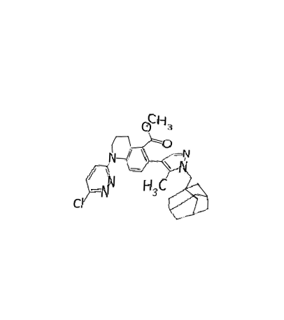 COC(=O)c1c(-c2cnn(CC34CC5CC(CC(C5)C3)C4)c2C)ccc2c1CCCN2c1ccc(Cl)nn1